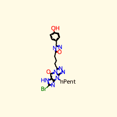 CCCCCn1c2nc(Br)[nH]c2c(=O)n2c(CCCc3nc(-c4ccc(O)cc4)no3)nnc12